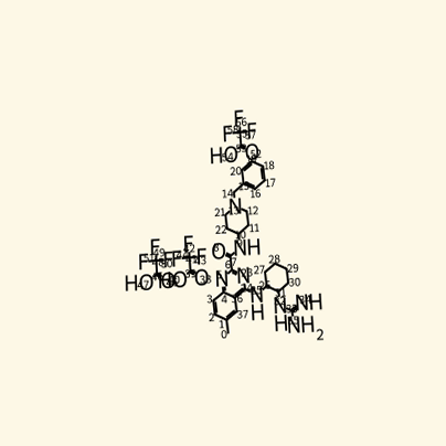 Cc1ccc2nc(C(=O)NC3CCN(Cc4ccccc4)CC3)nc(NC3CCCCC3NC(=N)N)c2c1.O=C(O)C(F)(F)F.O=C(O)C(F)(F)F.O=C(O)C(F)(F)F